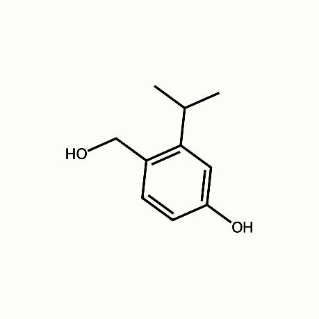 CC(C)c1cc(O)ccc1CO